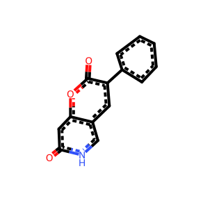 O=c1cc2oc(=O)c(-c3ccccc3)cc2c[nH]1